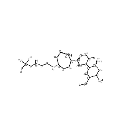 CSC1OC(C(NC(=O)C2CC[C@H](CCCNCC(F)(F)F)CCN2)C(C)Cl)[C@@H](O)CC1O